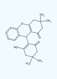 CC1(C)CC(=O)C(C2C3=C(CC(C)(C)CC3=O)Oc3ccccc32)=C(O)C1